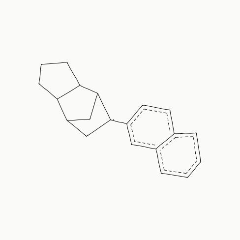 c1ccc2cc([C]3CC4CC3C3CCCC43)ccc2c1